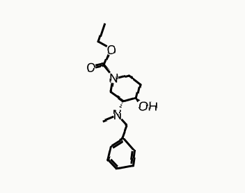 CCOC(=O)N1CC[C@@H](O)[C@H](N(C)Cc2ccccc2)C1